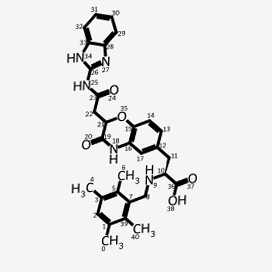 Cc1cc(C)c(C)c(CN[C@@H](Cc2ccc3c(c2)NC(=O)C(CC(=O)Nc2nc4ccccc4[nH]2)O3)C(=O)O)c1C